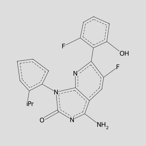 CC(C)c1ccccc1-n1c(=O)nc(N)c2cc(F)c(-c3c(O)cccc3F)nc21